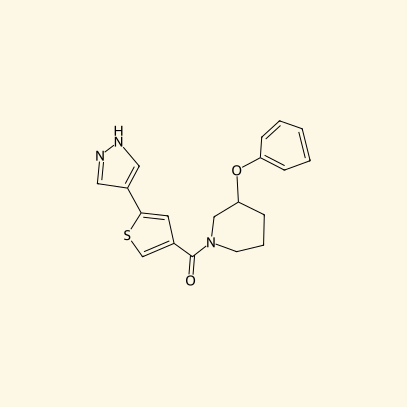 O=C(c1csc(-c2cn[nH]c2)c1)N1CCCC(Oc2ccccc2)C1